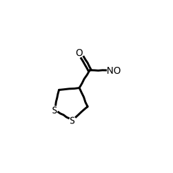 O=NC(=O)C1CSSC1